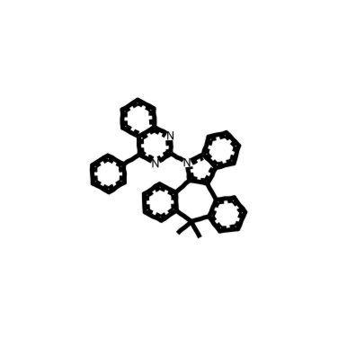 CC1(C)c2ccccc2-c2c(n(-c3nc(-c4ccccc4)c4ccccc4n3)c3ccccc23)-c2ccccc21